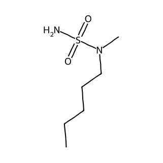 CCCCCN(C)S(N)(=O)=O